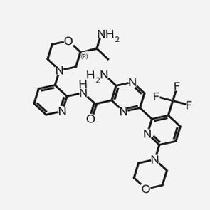 CC(N)[C@H]1CN(c2cccnc2NC(=O)c2nc(-c3nc(N4CCOCC4)ccc3C(F)(F)F)cnc2N)CCO1